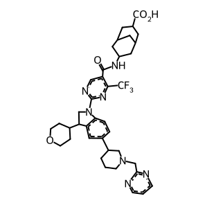 O=C(NC1CC2CC(C1)CC(C(=O)O)C2)c1cnc(N2CC(C3CCOCC3)c3cc(C4CCCN(Cc5ncccn5)C4)ccc32)nc1C(F)(F)F